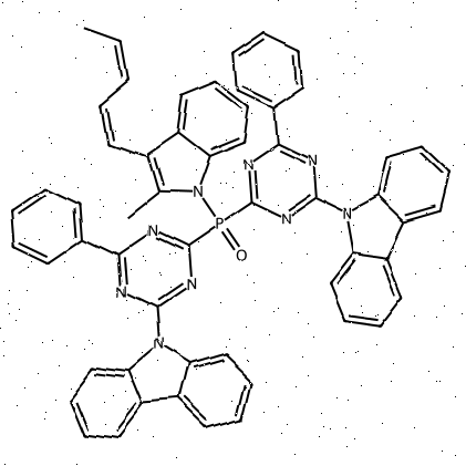 C/C=C\C=C/c1c(C)n(P(=O)(c2nc(-c3ccccc3)nc(-n3c4ccccc4c4ccccc43)n2)c2nc(-c3ccccc3)nc(-n3c4ccccc4c4ccccc43)n2)c2ccccc12